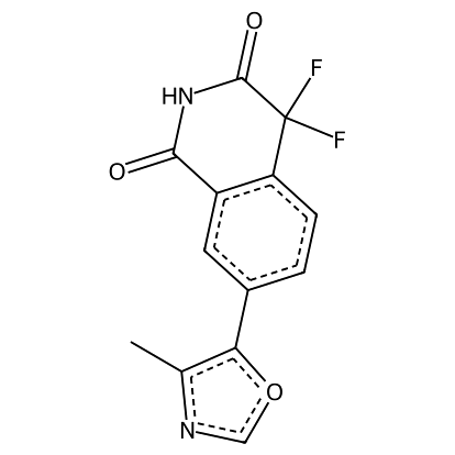 Cc1ncoc1-c1ccc2c(c1)C(=O)NC(=O)C2(F)F